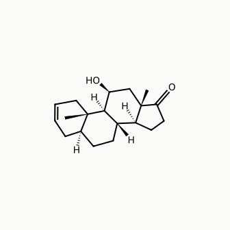 C[C@]12CC=CC[C@@H]1CC[C@@H]1[C@@H]2[C@@H](O)C[C@]2(C)C(=O)CC[C@@H]12